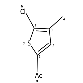 CC(=O)c1cc(C)c(Cl)s1